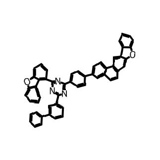 c1ccc(-c2cccc(-c3nc(-c4ccc(-c5ccc6c(ccc7cc8oc9ccccc9c8cc76)c5)cc4)nc(-c4cccc5oc6ccccc6c45)n3)c2)cc1